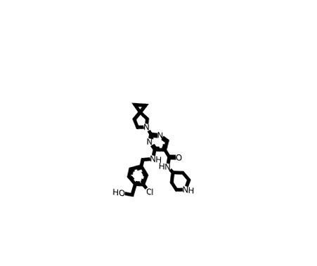 O=C(NC1CCNCC1)c1cnc(N2CCC3(CC3)C2)nc1NCc1ccc(CO)c(Cl)c1